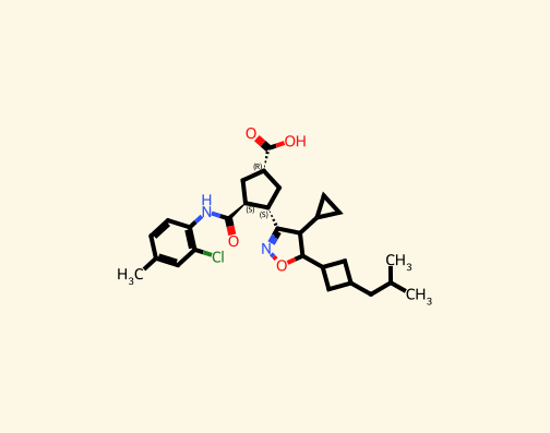 Cc1ccc(NC(=O)[C@H]2C[C@H](C(=O)O)C[C@@H]2C2=NOC(C3CC(CC(C)C)C3)C2C2CC2)c(Cl)c1